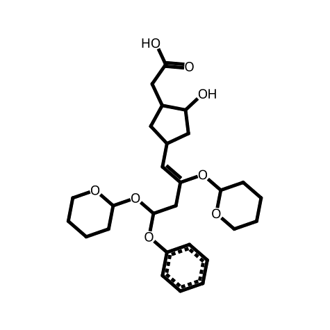 O=C(O)CC1CC(C=C(CC(Oc2ccccc2)OC2CCCCO2)OC2CCCCO2)CC1O